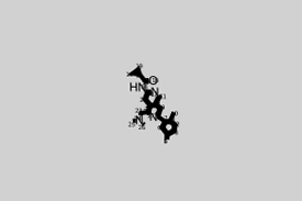 Cc1ccc(F)cc1-c1cc2cnc(NC(=O)C3CC3)cc2c(CN(C)C)n1